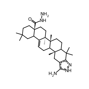 CC1(C)CC[C@]2(C(=O)NN)CC[C@]3(C)C(=CCC4[C@@]5(C)Cc6c(n[nH]c6N)C(C)(C)C5CC[C@]43C)C2C1